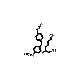 CCC(CO)CCCCO.O=C=Nc1ccc(Cc2ccc(N=C=O)cc2)cc1